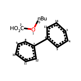 CCCCOC(=O)O.c1ccc(-c2ccccc2)cc1